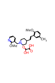 COc1ccc(C)cc1C=CC1CCN(Cc2cccnc2OC)CC1.O=C(O)C(=O)O